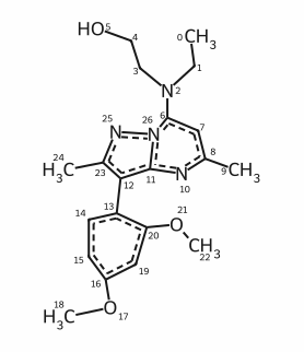 CCN(CCO)c1cc(C)nc2c(-c3ccc(OC)cc3OC)c(C)nn12